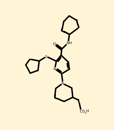 O=C(O)CC1CCCN(c2ccc(C(=O)NC3CCCCC3)c(SC3CCCC3)n2)C1